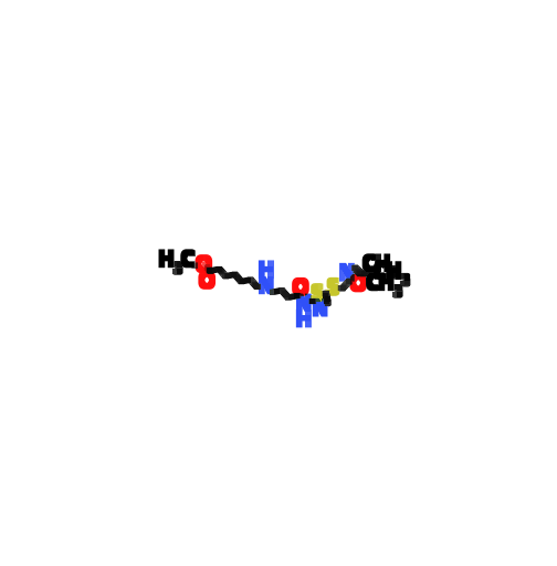 CCOC(=O)CCCCCCNCCCC(=O)Nc1ncc(SCc2ncc(C(C)(C)C)o2)s1